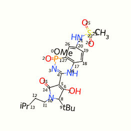 COP1(=O)N=C(C2=C(O)C(C(C)(C)C)N(CCC(C)C)C2=O)Nc2ccc(NS(C)(=O)=O)cc21